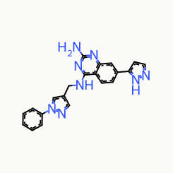 Nc1nc(NCc2cnn(-c3ccccc3)c2)c2ccc(-c3ccn[nH]3)cc2n1